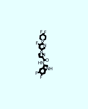 O=C(Nc1c[nH]c2cc(F)c(F)cc12)c1ccn(-c2cnc(N3CCC(F)(F)CC3)c(F)c2)n1